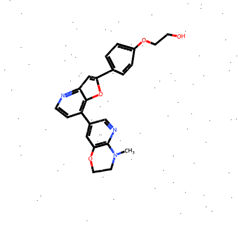 CN1CCOc2cc(-c3ccnc4cc(-c5ccc(OCCO)cc5)oc34)cnc21